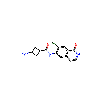 N[C@H]1C[C@@H](C(=O)Nc2cc3cc[nH]c(=O)c3cc2Cl)C1